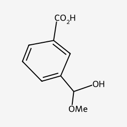 COC(O)c1cccc(C(=O)O)c1